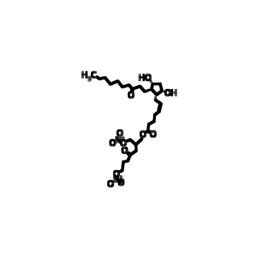 CCCCCCCC(=O)CC[C@@H]1[C@@H](C/C=C\CCCC(=O)OCC(CO[N+](=O)[O-])CC(=O)CCCO[N+](=O)[O-])[C@@H](O)C[C@H]1O